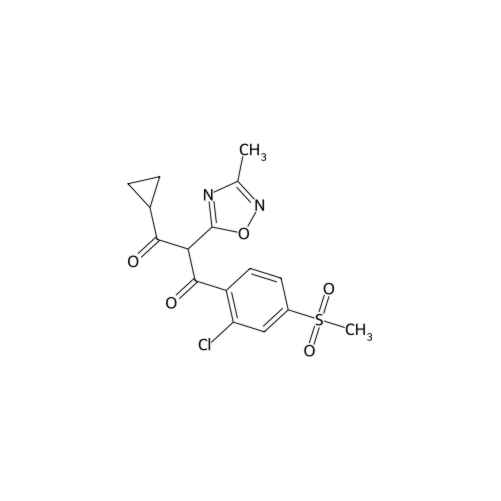 Cc1noc(C(C(=O)c2ccc(S(C)(=O)=O)cc2Cl)C(=O)C2CC2)n1